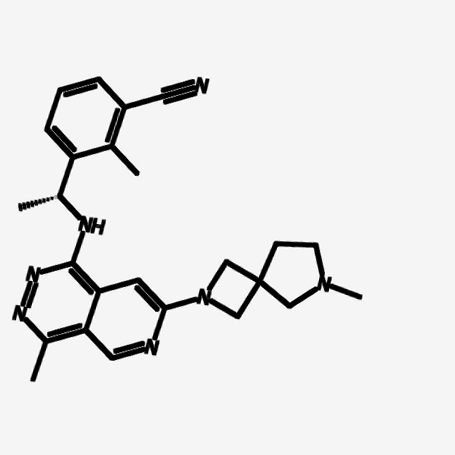 Cc1c(C#N)cccc1[C@@H](C)Nc1nnc(C)c2cnc(N3CC4(CCN(C)C4)C3)cc12